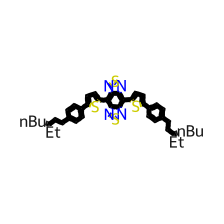 CCCCC(CC)CCc1ccc(-c2ccc(-c3c4c(c(-c5ccc(-c6ccc(CCC(CC)CCCC)cc6)s5)c5nsnc35)N=S=N4)s2)cc1